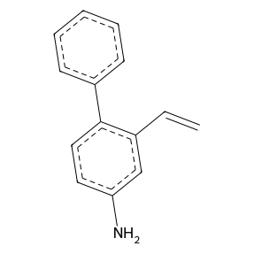 C=Cc1cc(N)ccc1-c1ccccc1